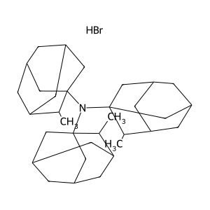 Br.CC1C2CC3CC(C2)CC1(N(C12CC4CC(CC(C4)C1C)C2)C12CC4CC(CC(C4)C1C)C2)C3